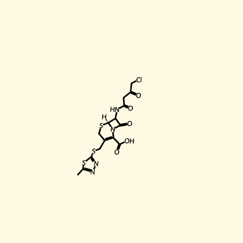 Cc1nnc(SCC2=C(C(=O)O)N3C(=O)C(NC(=O)CC(=O)CCl)[C@@H]3SC2)s1